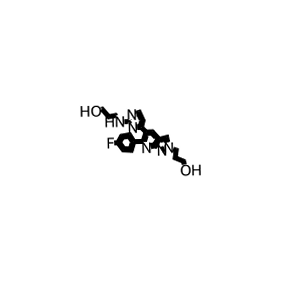 OCCCNc1nccc(-c2cc3cn(CCCO)nc3nc2-c2ccc(F)cc2)n1